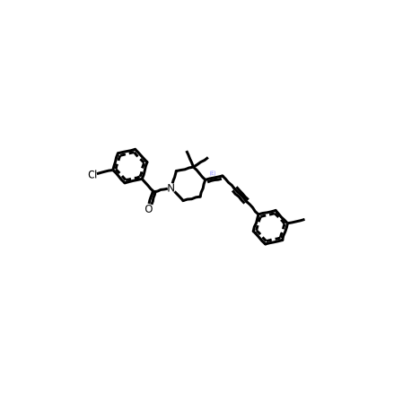 Cc1cccc(C#C/C=C2\CCN(C(=O)c3cccc(Cl)c3)CC2(C)C)c1